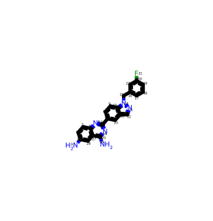 Nc1ccc2nc(-c3ccc4c(cnn4Cc4cccc(F)c4)c3)nc(N)c2c1